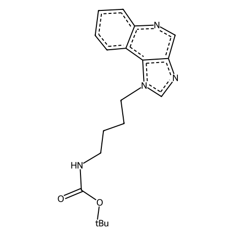 CC(C)(C)OC(=O)NCCCCn1cnc2cnc3ccccc3c21